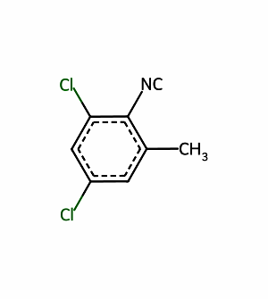 [C-]#[N+]c1c(C)cc(Cl)cc1Cl